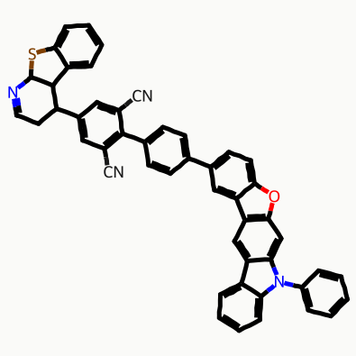 N#Cc1cc(C2CC=NC3Sc4ccccc4C32)cc(C#N)c1-c1ccc(-c2ccc3oc4cc5c(cc4c3c2)c2ccccc2n5-c2ccccc2)cc1